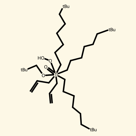 C=C[CH2][Ti](=[O])([CH2]C=C)([CH2]CCCCCC(C)(C)C)([CH2]CCCCCC(C)(C)C)([CH2]CCCCCC(C)(C)C)([O]O)[O]CC(C)(C)C